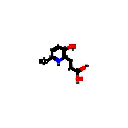 Cc1ccc(O)c(C=CC(=O)O)n1